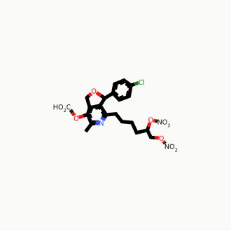 Cc1nc(CCCCC(CO[N+](=O)[O-])O[N+](=O)[O-])c2c(c1OC(=O)O)COC2c1ccc(Cl)cc1